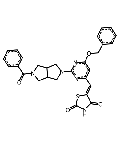 O=C1NC(=O)C(=Cc2cc(OCc3ccccc3)nc(N3CC4CN(C(=O)c5ccccc5)CC4C3)n2)S1